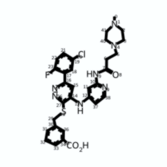 CN1CCN(CCC(=O)Nc2cc(Nc3cc(-c4cc(Cl)ccc4F)nnc3SCc3cccc(C(=O)O)c3)ccn2)CC1